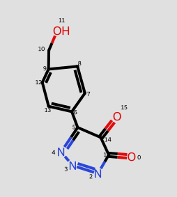 O=C1N=NN=C(c2ccc(CO)cc2)C1=O